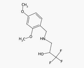 COc1ccc(CNCC(O)C(F)(F)F)c(OC)c1